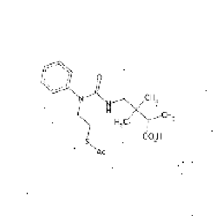 CC(=O)SCCN(C(=O)NCC(C)(C)[C@H](C)C(=O)O)c1ccccc1